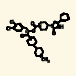 CN1CCC(C2CCN(C(=O)[C@@H](Cc3ccc(Cl)c(Cl)c3)OC(=O)N3CCC(n4cc(-c5ccccc5)[nH]c4=O)CC3)CC2)CC1